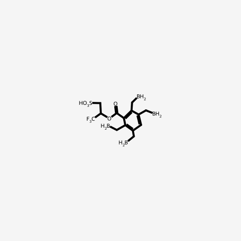 BCc1cc(CB)c(CB)c(C(=O)OC(CS(=O)(=O)O)C(F)(F)F)c1CB